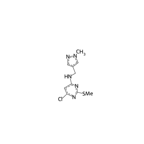 CSc1nc(Cl)cc(NCc2cnn(C)c2)n1